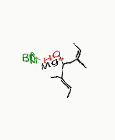 CC=C(C)C(O)C(C)=CC.[Br-].[Br-].[Mg+2]